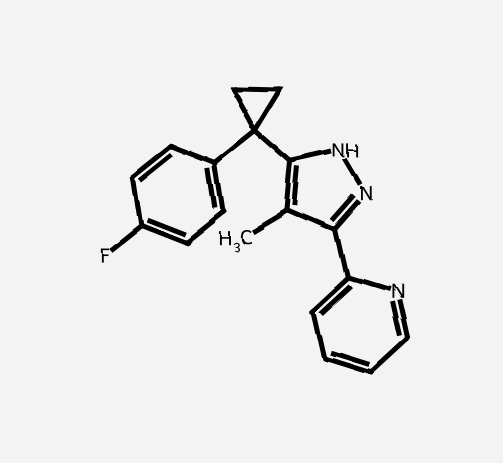 Cc1c(-c2ccccn2)n[nH]c1C1(c2ccc(F)cc2)CC1